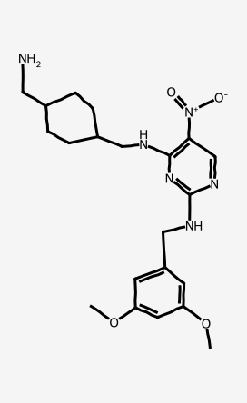 COc1cc(CNc2ncc([N+](=O)[O-])c(NCC3CCC(CN)CC3)n2)cc(OC)c1